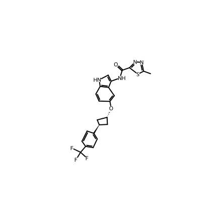 Cc1nnc(C(=O)Nc2c[nH]c3ccc(O[C@H]4C[C@H](c5ccc(C(F)(F)F)cc5)C4)cc23)s1